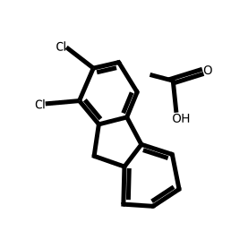 CC(=O)O.Clc1ccc2c(c1Cl)Cc1ccccc1-2